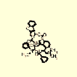 CCN(C(=O)C(C)(Cc1cn(C(=O)O)c2cccc(C(CN(C)C)OC(=O)c3ccccc3)c12)NC(=O)OCc1cc2ccccc2o1)c1ccccc1